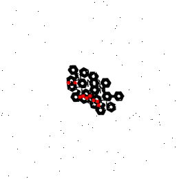 c1ccc(-c2cc(N3c4ccccc4B4c5ccccc5N(c5cc([Si](c6ccccc6)(c6ccccc6)c6ccccc6)cc([Si](c6ccccc6)(c6ccccc6)c6ccccc6)c5)c5cc(-n6c7ccccc7c7ccccc76)cc3c54)cc([Si](c3ccccc3)(c3ccccc3)c3ccccc3)c2)cc1